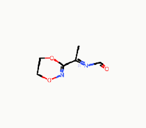 C/C(=N\C=O)C1=NOCCO1